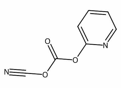 N#COC(=O)Oc1ccccn1